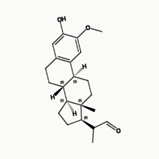 COc1cc2c(cc1O)CC[C@@H]1[C@@H]2CC[C@]2(C)[C@@H](C(C)C=O)CC[C@@H]12